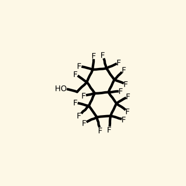 OCC1(F)C(F)(F)C(F)(F)C(F)(F)C2(F)C(F)(F)C(F)(F)C(F)(F)C(F)(F)C12F